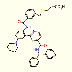 O=C(O)CCSCc1cccc(C(=O)Nc2ccc(N3CCCCC3)cc2-c2cc(C(=O)NC(c3ccccc3)c3ccccc3)ccn2)c1